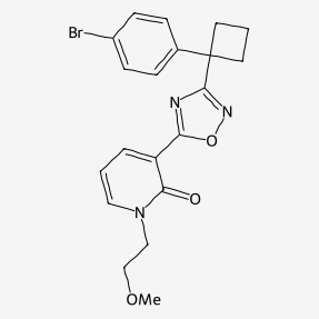 COCCn1cccc(-c2nc(C3(c4ccc(Br)cc4)CCC3)no2)c1=O